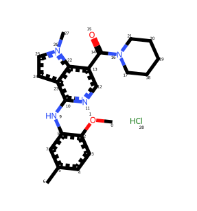 COc1ccc(C)cc1Nc1ncc(C(=O)N2CCCCC2)c2c1ccn2C.Cl